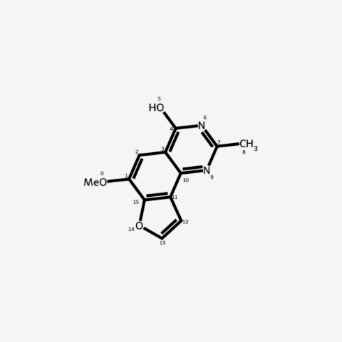 COc1cc2c(O)nc(C)nc2c2ccoc12